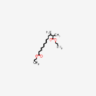 CCCOC(=O)CCCCCCCCCC(C)C(C)C(=O)OCCC